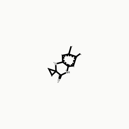 Cc1cc2c(cc1C)OC1(CC1)C(=O)N2